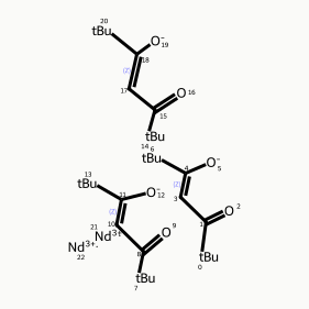 CC(C)(C)C(=O)/C=C(\[O-])C(C)(C)C.CC(C)(C)C(=O)/C=C(\[O-])C(C)(C)C.CC(C)(C)C(=O)/C=C(\[O-])C(C)(C)C.[Nd+3].[Nd+3]